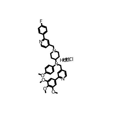 COc1ccc(N(Cc2ccnc(-c3cc(OC)c(OC)c(OC)c3)c2)C2CCN(Cc3ccnc(-c4ccc(F)cc4)c3)CC2)cc1.Cl.Cl.Cl